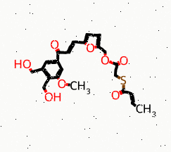 C/C=C/C(=O)SCC(=O)OCc1ccc(/C=C/C(=O)c2cc(CO)c(CO)c(OC)c2)o1